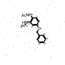 CC(=O)Nc1ccc(OCc2ccccc2)cc1NC(C)C